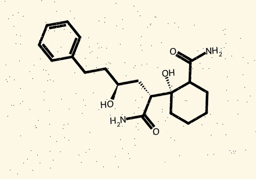 NC(=O)C1CCCC[C@@]1(O)[C@@H](C[C@@H](O)[CH]Cc1ccccc1)C(N)=O